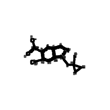 O=[N+]([O-])c1cc2cnn(CC3(F)CC3)c2cc1Cl